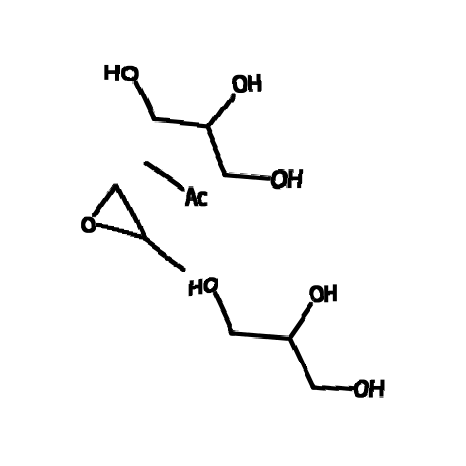 CC(C)=O.CC1CO1.OCC(O)CO.OCC(O)CO